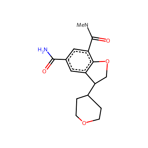 CNC(=O)c1cc(C(N)=O)cc2c1OCC2C1CCOCC1